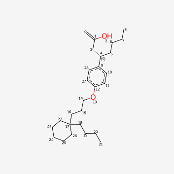 C=C(O)C[C@H](CCCC)c1ccc(OCCCC2(CCCC)CCCCC2)cc1